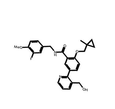 COc1ccc(CNC(=O)c2cc(-c3ncccc3CO)ccc2OCC2(C)CC2)cc1F